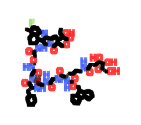 CC[C@@]1(O)C(=O)OCc2c1cc1n(c2=O)Cc2c-1nc1cc(F)c(C)c3c1c2[C@@H](NC(=O)COCNC(=O)CNC(=O)[C@H](Cc1ccccc1)NC(=O)CNC(=O)CNC(=O)[C@H](CCCCNC(=O)C[C@@H]1O[C@H](CO)[C@@H](O)[C@H]1O)NC(=O)OCC1c2ccccc2-c2ccccc21)CC3